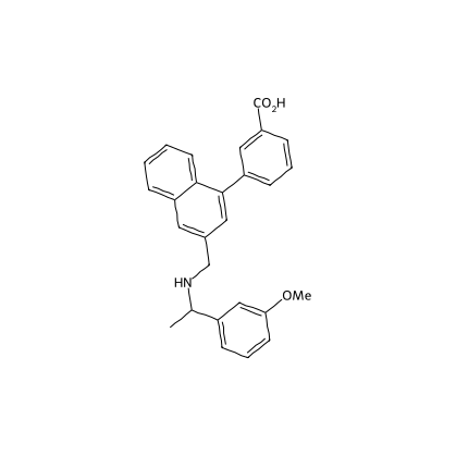 COc1cccc(C(C)NCc2cc(-c3cccc(C(=O)O)c3)c3ccccc3c2)c1